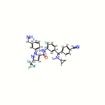 CN(C1CC1)[C@H](c1ccc(C#N)cc1)c1ccc(F)c(NC(=O)c2cc(C(F)(F)F)nn2-c2cccc(CN)c2)c1